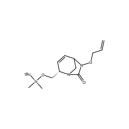 C=CCON1C(=O)N2CC1C=C[C@H]2CO[Si](C)(C)C(C)(C)C